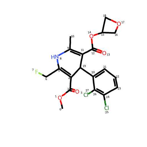 COC(=O)C1=C(CF)NC(C)=C(C(=O)OC2COC2)C1c1cccc(Cl)c1Cl